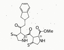 COC(=O)[C@H]1NCC(=S)C1C(=O)[C@H]1NCC(=S)C1C(=O)CC1Cc2ccccc2C1